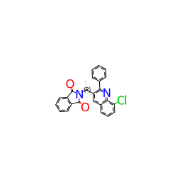 C[C@H](c1cc2cccc(Cl)c2nc1-c1ccccc1)N1C(=O)c2ccccc2C1=O